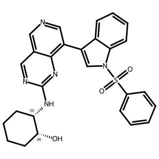 O=S(=O)(c1ccccc1)n1cc(-c2cncc3cnc(N[C@H]4CCCC[C@H]4O)nc23)c2ccccc21